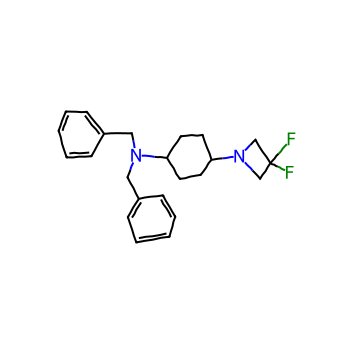 FC1(F)CN(C2CCC(N(Cc3ccccc3)Cc3ccccc3)CC2)C1